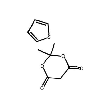 CC1(C)OC(=O)CC(=O)O1.c1ccsc1